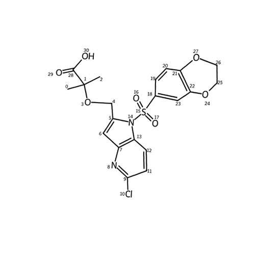 CC(C)(OCc1cc2nc(Cl)ccc2n1S(=O)(=O)c1ccc2c(c1)OCCO2)C(=O)O